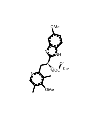 COc1ccc2[nH]c([S+]([O-])Cc3ncc(C)c(OC)c3C)nc2c1.O=C([O-])[O-].[Ca+2]